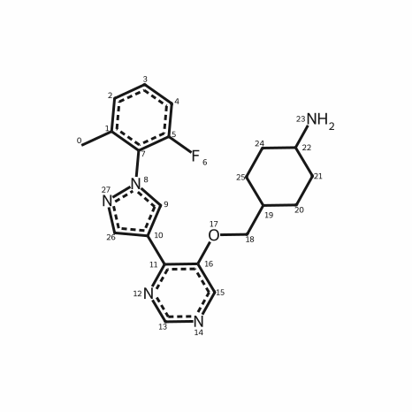 Cc1cccc(F)c1-n1cc(-c2ncncc2OCC2CCC(N)CC2)cn1